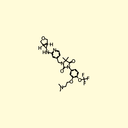 CN(C)CCOc1cc(N2C(=O)N(Cc3ccnc(NC4[C@H]5COC[C@@H]45)c3)C(C)(C)C2=O)ccc1OC(F)(F)F